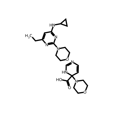 CCc1cc(NC2CC2)nc(N2CCOCC2)n1.O=C(O)C1(N2CCOCC2)C=CN=CN1